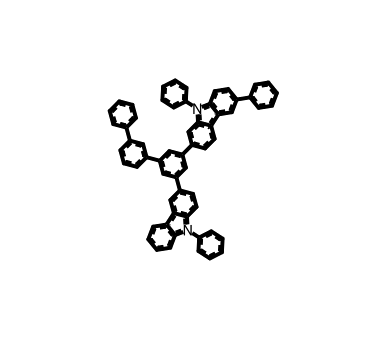 c1ccc(-c2cccc(-c3cc(-c4ccc5c(c4)c4ccccc4n5-c4ccccc4)cc(-c4ccc5c6cc(-c7ccccc7)ccc6n(-c6ccccc6)c5c4)c3)c2)cc1